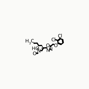 CCCCC[C@H](CN(O)C=O)c1nnc(COc2cccc(Cl)c2Cl)o1